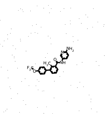 Cc1c(C(=O)Nc2ccc(N)nc2)cccc1-c1ccc(OC(F)(F)F)cc1